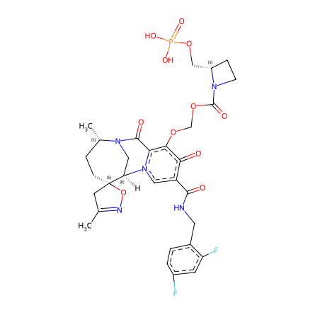 CC1=NO[C@@]2(CC[C@H](C)N3C[C@H]2n2cc(C(=O)NCc4ccc(F)cc4F)c(=O)c(OCOC(=O)N4CC[C@H]4COP(=O)(O)O)c2C3=O)C1